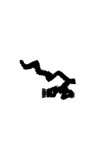 C=C(CCCCC=CC)C(=O)O